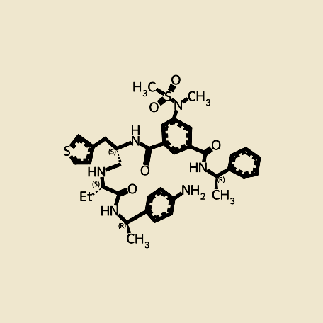 CC[C@H](NC[C@H](Cc1ccsc1)NC(=O)c1cc(C(=O)N[C@H](C)c2ccccc2)cc(N(C)S(C)(=O)=O)c1)C(=O)N[C@H](C)c1ccc(N)cc1